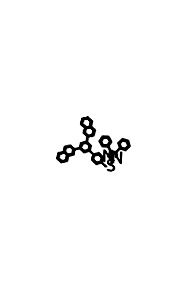 c1ccc(-c2nc3n(c2-c2ccccc2)-c2cc(-c4cc(-c5ccc6ccccc6c5)cc(-c5ccc6ccccc6c5)c4)ccc2CS3)cc1